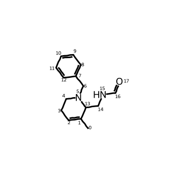 CC1=CCCN(Cc2ccccc2)C1CNC=O